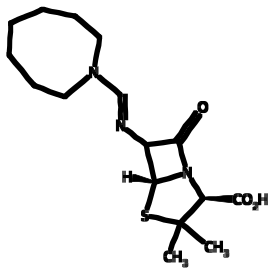 CC1(C)S[C@@H]2C(/N=C/N3CCCCCCC3)C(=O)N2[C@H]1C(=O)O